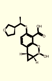 C[C@@H](Sc1ccc2c(c1C(=O)O)OB(O)[C@@H]1C[C@H]21)[C@H]1CCOC1